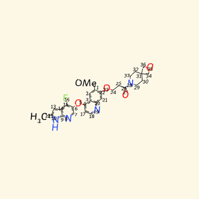 COc1cc2c(Oc3cnc4[nH]c(C)cc4c3F)ccnc2cc1OCCC(=O)N1CCC2(CC1)COC2